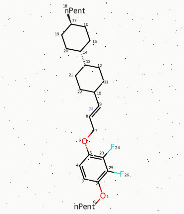 CCCCCOc1ccc(OC/C=C/C2CCC([C@H]3CC[C@H](CCCCC)CC3)CC2)c(F)c1F